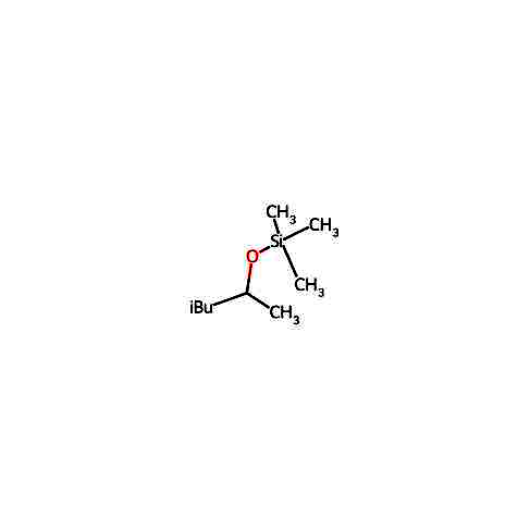 CCC(C)C(C)O[Si](C)(C)C